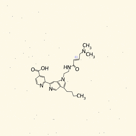 CCCCc1cn(CCNC(=O)/C=C/CN(C)C)c2cc(-c3cc(C(=O)O)ccn3)ncc12